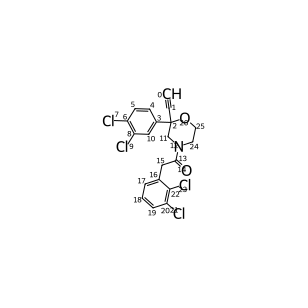 C#CC1(c2ccc(Cl)c(Cl)c2)CN(C(=O)Cc2cccc(Cl)c2Cl)CCO1